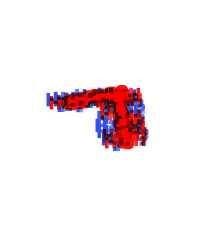 C[C@@H](O)[C@H](N)C(=O)O.C[C@H](N)C(=O)O.C[C@H](N)C(=O)O.NC(=O)CC[C@H](N)C(=O)O.NC(=O)CC[C@H](N)C(=O)O.NC(=O)C[C@H](N)C(=O)O.NCC(=O)O.N[C@@H](CCC(=O)O)C(=O)O.N[C@@H](CO)C(=O)O.N[C@@H](CO)C(=O)O.N[C@@H](CO)C(=O)O.N[C@@H](Cc1c[nH]cn1)C(=O)O.N[C@@H](Cc1ccc(O)cc1)C(=O)O.N[C@@H](Cc1ccccc1)C(=O)O.O=C(O)[C@@H]1CCCN1.O=C(O)[C@@H]1CCCN1